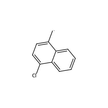 [CH2]c1ccc(Cl)c2ccccc12